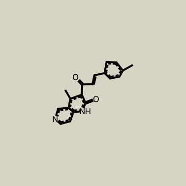 Cc1ccc(/C=C/C(=O)c2c(C)c3cnccc3[nH]c2=O)cc1